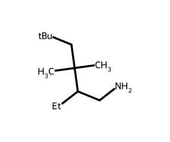 CCC(CN)C(C)(C)CC(C)(C)C